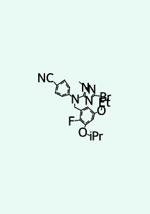 CCOc1cc(CN(c2ccc(C#N)cc2)c2nc(Br)nn2C)c(F)c(OC(C)C)c1